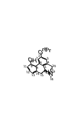 CCCOc1cc2c3c(c1)-c1c(O)cccc1C[C@H]3N(C)CC2